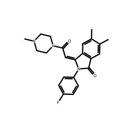 Cc1cc2c(cc1C)C(=CC(=O)N1CCN(C)CC1)N(c1ccc(F)cc1)C2=O